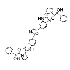 O=C(Nc1ccc(-c2ncc(-c3ccc4nc([C@@H]5CCCN5C(=O)[C@H](O)c5ccccc5)[nH]c4c3)o2)cc1)C1CCCN1C(=O)[C@H](O)c1ccccc1